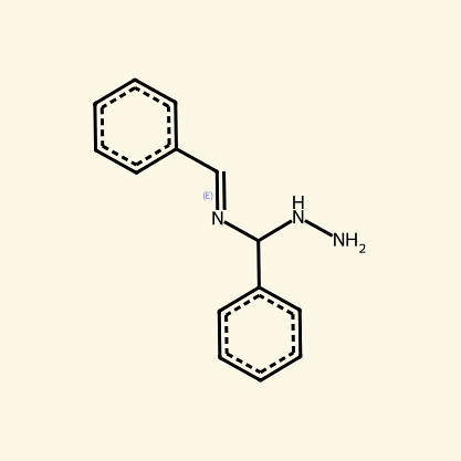 NNC(/N=C/c1ccccc1)c1ccccc1